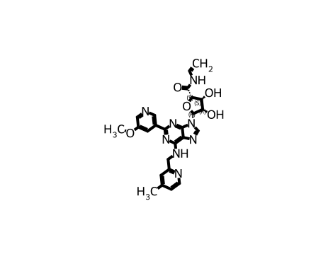 C=CNC(=O)[C@H]1O[C@@H](n2cnc3c(NCc4cc(C)ccn4)nc(-c4cncc(OC)c4)nc32)[C@H](O)[C@@H]1O